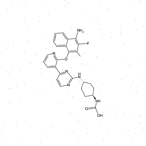 Cc1c(F)c(N)c2ccccc2c1Oc1ncccc1-c1ccnc(N[C@H]2CC[C@H](NC(=O)O)CC2)n1